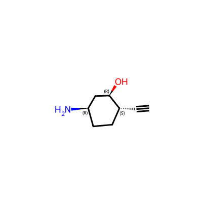 C#C[C@@H]1CC[C@@H](N)C[C@H]1O